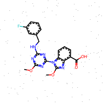 COc1nc(NCc2cccc(F)c2)nc(-n2c(OC)nc3c(C(=O)O)cccc32)n1